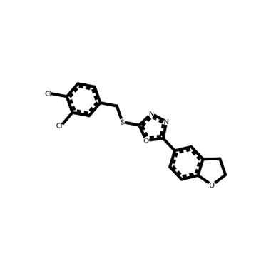 Clc1ccc(CSc2nnc(-c3ccc4c(c3)CCO4)o2)cc1Cl